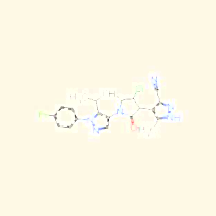 Cc1[nH]nc(C#N)c1C1C(=O)N(c2cnn(-c3ccc(F)cc3)c2C(C)C)CC1Cl